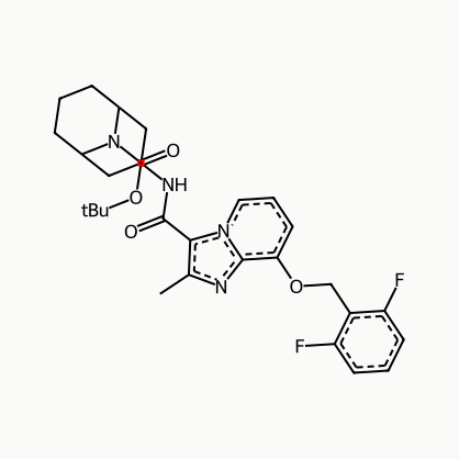 Cc1nc2c(OCc3c(F)cccc3F)cccn2c1C(=O)NC1CC2CCCC(C1)N2C(=O)OC(C)(C)C